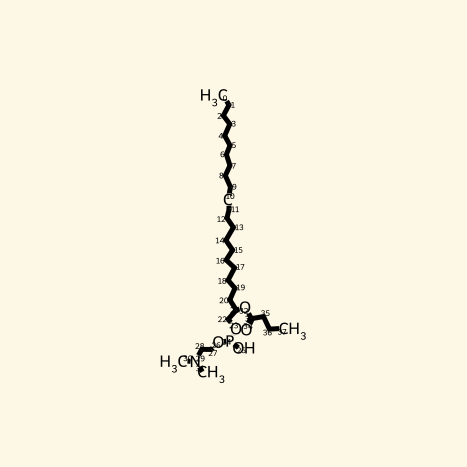 CCCCCCCCCCCCCCCCCCCCCC(COP(O)OCCN(C)C)OC(=O)CCC